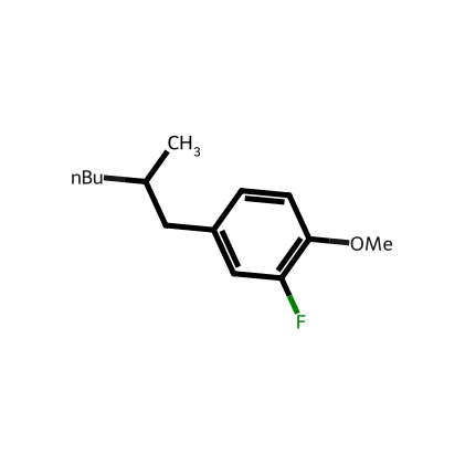 CCCCC(C)Cc1ccc(OC)c(F)c1